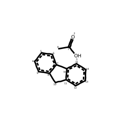 CC(=O)O.c1ccc2c(c1)Cc1ccccc1-2